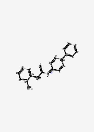 O=C(/N=c1/ccn(-c2ccccc2)nc1)Nc1ccccc1C(F)(F)F